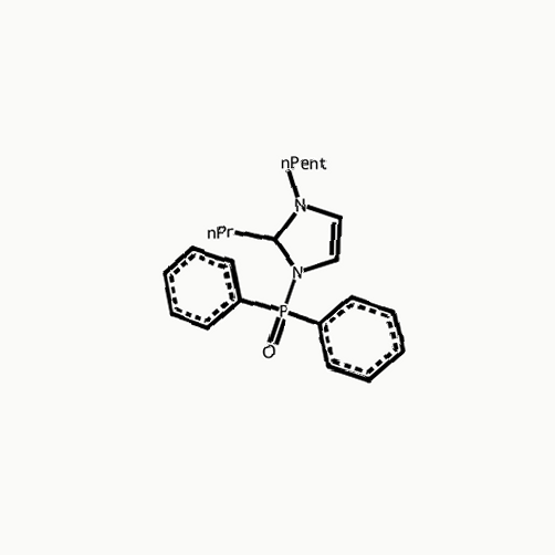 CCCCCN1C=CN(P(=O)(c2ccccc2)c2ccccc2)C1CCC